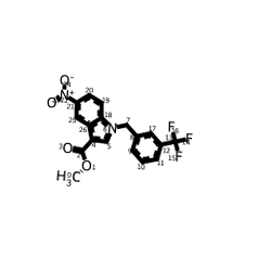 COC(=O)c1cn(Cc2cccc(C(F)(F)F)c2)c2ccc([N+](=O)[O-])cc12